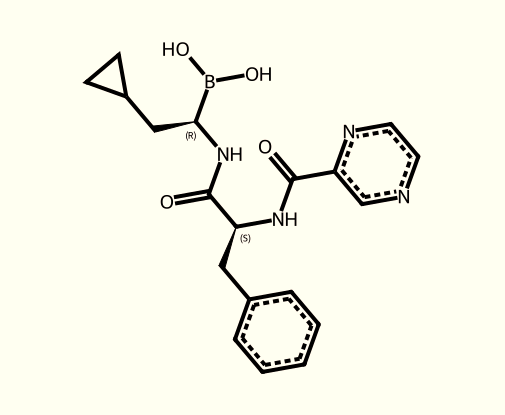 O=C(N[C@@H](Cc1ccccc1)C(=O)N[C@@H](CC1CC1)B(O)O)c1cnccn1